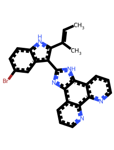 C/C=C(\C)c1[nH]c2ccc(Br)cc2c1-c1nc2c3cccnc3c3ncccc3c2[nH]1